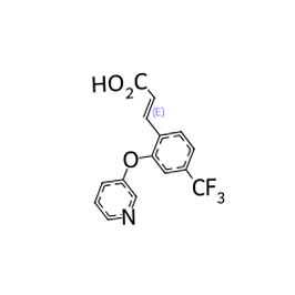 O=C(O)/C=C/c1ccc(C(F)(F)F)cc1Oc1cccnc1